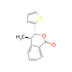 C[C@@H]1c2ccccc2C(=O)O[C@H]1c1cccs1